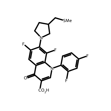 CSCC1CCN(c2c(F)cc3c(=O)c(C(=O)O)cn(-c4ccc(F)cc4F)c3c2F)C1